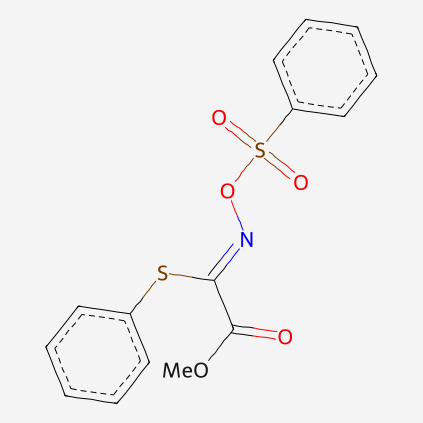 COC(=O)/C(=N/OS(=O)(=O)c1ccccc1)Sc1ccccc1